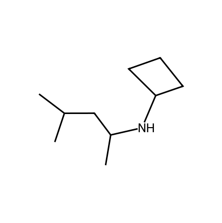 CC(C)CC(C)NC1CCC1